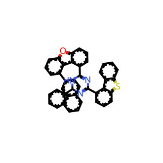 c1ccc(C2N=C(c3cccc4sc5ccccc5c34)N=C(c3cccc4oc5cccc(-c6ccc7ccccc7c6)c5c34)N2)cc1